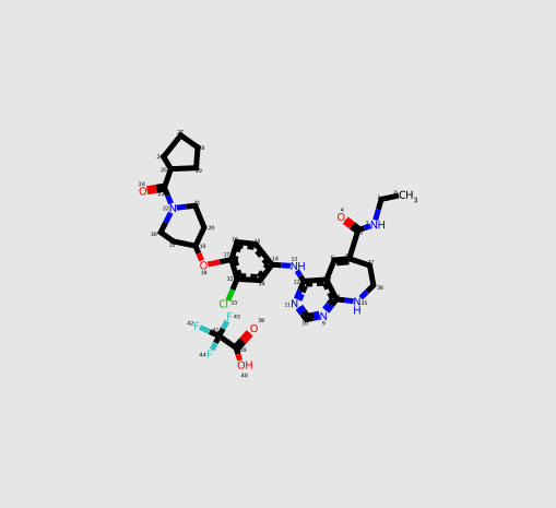 CCNC(=O)C1=Cc2c(ncnc2Nc2ccc(OC3CCN(C(=O)C4CCCC4)CC3)c(Cl)c2)NCC1.O=C(O)C(F)(F)F